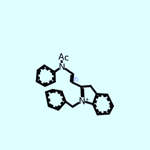 CC(=O)N(/C=C/C1=[N+](Cc2ccccc2)c2ccccc2C1)c1ccccc1